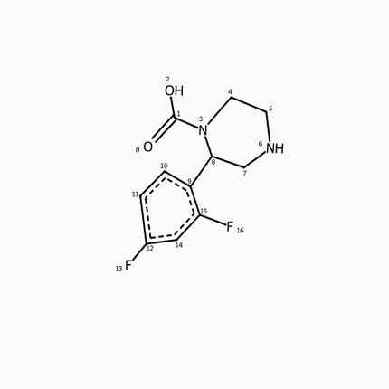 O=C(O)N1CCNCC1c1ccc(F)cc1F